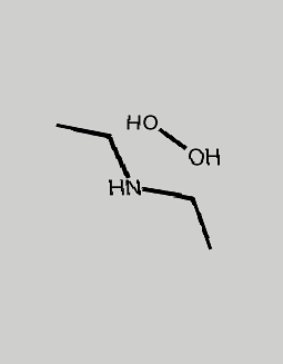 CCNCC.OO